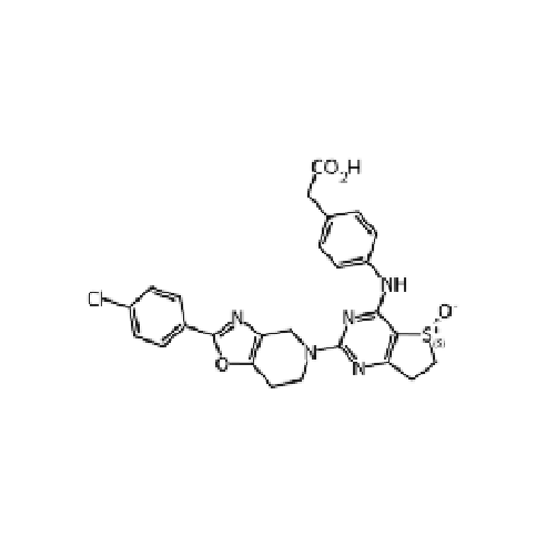 O=C(O)Cc1ccc(Nc2nc(N3CCc4oc(-c5ccc(Cl)cc5)nc4C3)nc3c2[S@+]([O-])CC3)cc1